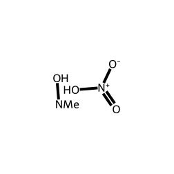 CNO.O=[N+]([O-])O